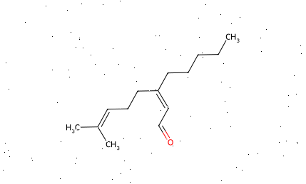 CCCCCC(=CC=O)CCC=C(C)C